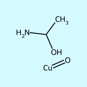 CC(N)O.[O]=[Cu]